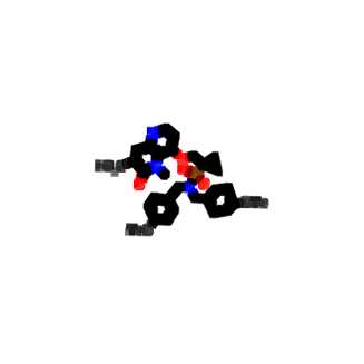 COc1ccc(CN(Cc2ccc(OC)cc2)S(=O)(=O)C2(COc3ccnc4cc(C(=O)O)c(=O)n(C)c34)CC2)cc1